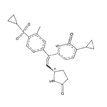 Cc1cc(C(=C[C@H]2CCC(=O)N2)c2ccc(C3CC3)c(=O)[nH]2)ccc1S(=O)(=O)C1CC1